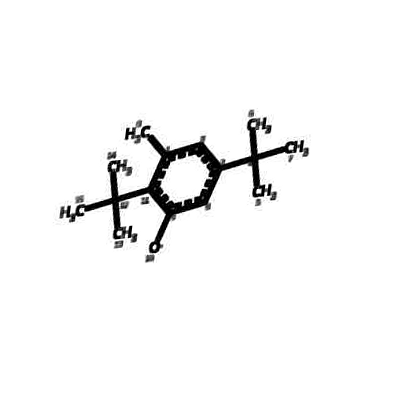 Cc1cc(C(C)(C)C)cc([O])c1C(C)(C)C